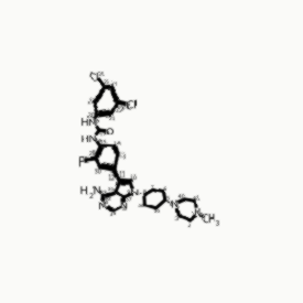 CN1CCN([C@H]2CC[C@@H](n3cc(-c4ccc(NC(=O)Nc5cc(Cl)cc(Cl)c5)c(F)c4)c4c(N)ncnc43)CC2)CC1